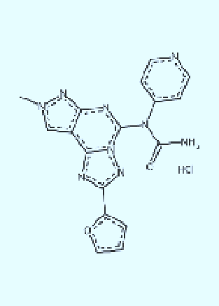 Cl.Cn1cc2c(nc(N(C(N)=O)c3ccncc3)n3nc(-c4ccco4)nc23)n1